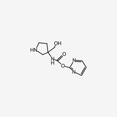 O=C(NC1(CO)CCNC1)Oc1ncccn1